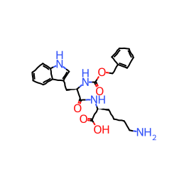 NCCCC[C@H](NC(=O)[C@@H](Cc1c[nH]c2ccccc12)NC(=O)OCc1ccccc1)C(=O)O